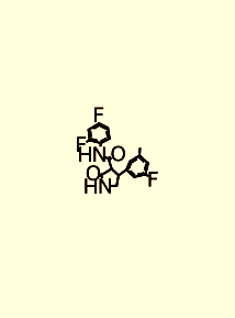 Cc1cc(F)cc(C2CNC(=O)C2C(=O)Nc2ccc(F)cc2F)c1